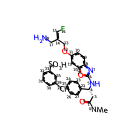 CNC(=O)C[C@@H](Nc1nc2ccc(OC/C(=C\F)CN)cc2o1)c1ccccc1.Cc1cccc(S(=O)(=O)O)c1